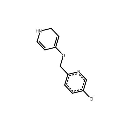 Clc1ccc(COC2=CCNC=C2)nc1